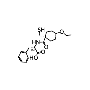 CCO[C@H]1CC[C@@](CS)(C(=O)N[C@@H](Cc2ccccc2)C(=O)O)CC1